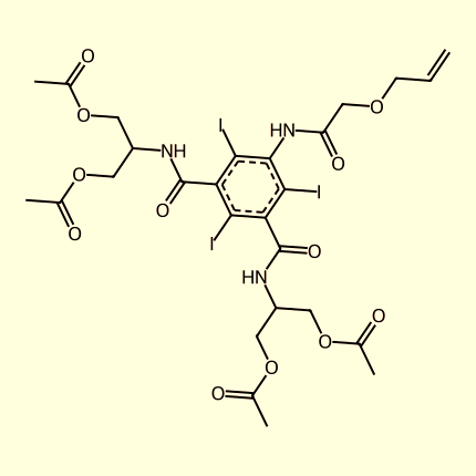 C=CCOCC(=O)Nc1c(I)c(C(=O)NC(COC(C)=O)COC(C)=O)c(I)c(C(=O)NC(COC(C)=O)COC(C)=O)c1I